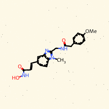 COc1ccc(CC(=O)NCc2nc3cc(/C=C/C(=O)NO)ccc3n2C)cc1